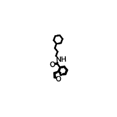 O=C(NCCCC1CCCCC1)c1cccc2occc12